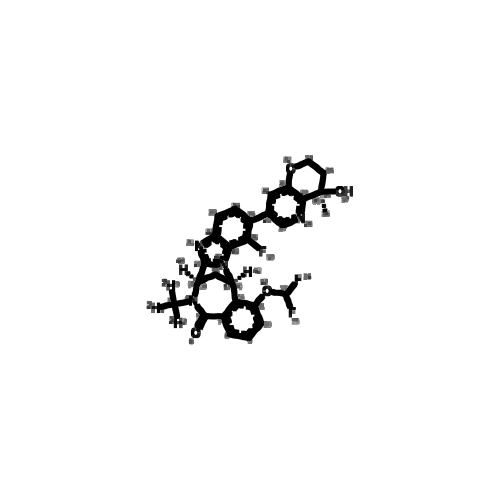 [2H]C([2H])([2H])N1C(=O)c2cccc(OC(F)F)c2[C@H]2C[C@@H]1c1nc3ccc(-c4cnc5c(c4)OCC[C@@]5(C)O)c(F)c3n12